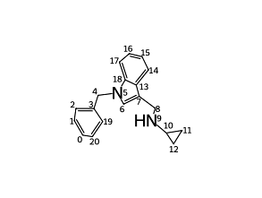 c1ccc(Cn2cc(CNC3CC3)c3ccccc32)cc1